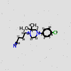 CC1(C)CN(c2ccc(Cl)cc2)CCN1CCCC#N